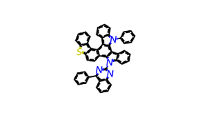 c1ccc(-c2nc(-n3c4ccccc4c4c3c3ccc5sc6ccccc6c5c3c3c5ccccc5n(-c5ccccc5)c34)nc3ccccc23)cc1